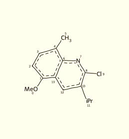 COc1ccc(C)c2nc(Cl)c(C(C)C)cc12